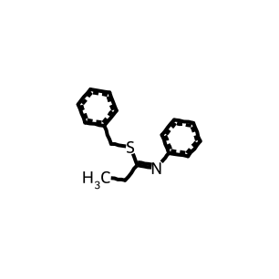 CCC(=Nc1ccccc1)SCc1ccccc1